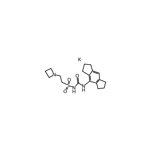 O=C(Nc1c2c(cc3c1CCC3)CCC2)NS(=O)(=O)CCN1CCC1.[K]